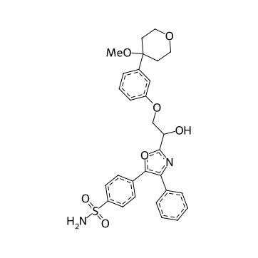 COC1(c2cccc(OCC(O)c3nc(-c4ccccc4)c(-c4ccc(S(N)(=O)=O)cc4)o3)c2)CCOCC1